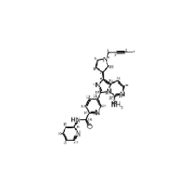 CC#CCN1CCC(c2nc(-c3ccc(C(=O)Nc4ccccn4)nc3)n3c(N)nccc23)C1